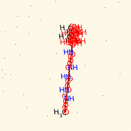 CC(=O)CCOCCOCCOCCNC(=O)CCCCCNC(=O)CCOCCCOCCC(=O)NCCCCCCCC(=O)NCCOCCOCCOCCC(=O)NCCCCCCOC1OC(C(=O)O)C(OC2OC(COS(=O)(=O)O)C(OC3OC(C(=O)O)C(OC4OC(COS(=O)(=O)O)C(O)C(O)C4C)C(O)C3O)C(O)C2C)C(O)C1O